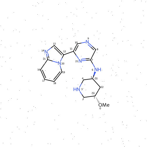 CO[C@@H]1CNC[C@@H](Nc2cncc(-c3cnc4ccccn34)n2)C1